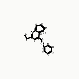 CCc1cc(COc2cc[c]cc2)c2ccccc2n1